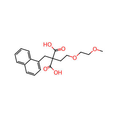 COCCOCCC(Cc1cccc2ccccc12)(C(=O)O)C(=O)O